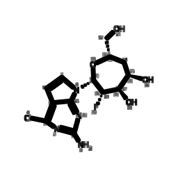 Nc1nc(Cl)c2ccn([C@@H]3O[C@H](CO)C[C@@H](O)[C@@H](O)[C@@H]3F)c2n1